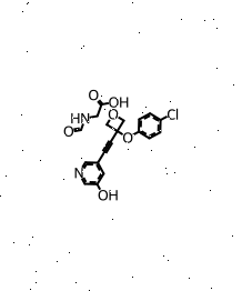 O=CNCC(=O)O.Oc1cncc(C#CC2(Oc3ccc(Cl)cc3)COC2)c1